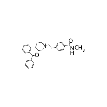 CNC(=O)c1ccc(CCN2CCC[C@@H](OC(c3ccccc3)c3ccccc3)C2)cc1